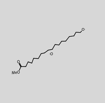 COC(=O)CCCCCCCCCCCCCCCCC[O].[O]